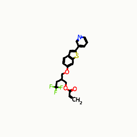 C=CC(=O)OCC(COc1ccc2cc(-c3cccnc3)sc2c1)CC(F)(F)F